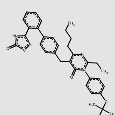 CCCCc1nc(CC)n(-c2ccc(OC(C)(C)CO)cc2)c(=O)c1Cc1ccc(-c2ccccc2-c2noc(=O)[nH]2)cc1